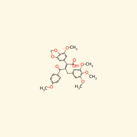 COc1ccc(C(=O)C(Cc2cc(OC)c(OC)c(OC)c2)=C(C(=O)O)c2cc(OC)c3c(c2)OCO3)cc1